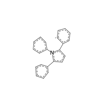 [c]1ccccc1-c1ccc(-c2ccccc2)n1-c1ccccc1